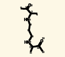 CC(=O)C(C)NCCCNC(C)C(C)=O